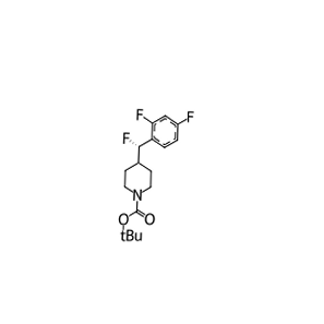 CC(C)(C)OC(=O)N1CCC([C@H](F)c2ccc(F)cc2F)CC1